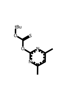 Cc1cc(C)nc(OC(=S)OC(C)(C)C)n1